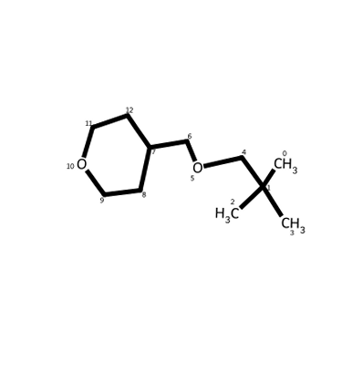 CC(C)(C)COCC1CCOCC1